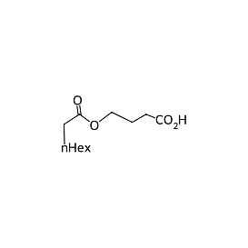 CCCCCCCC(=O)OCCCC(=O)O